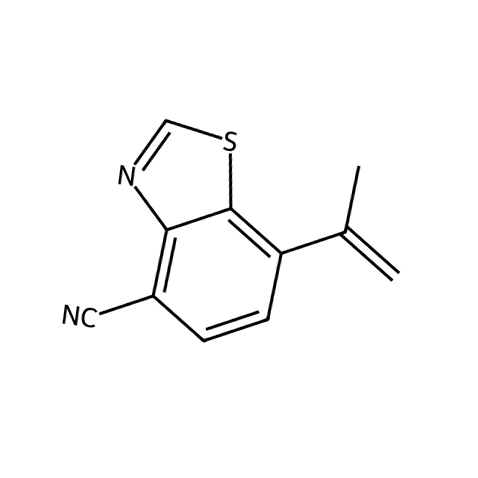 C=C(C)c1ccc(C#N)c2ncsc12